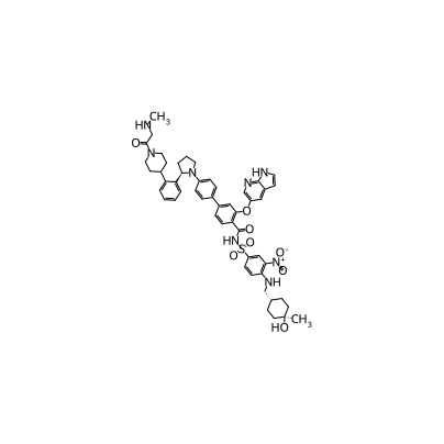 CNCC(=O)N1CCC(c2ccccc2[C@H]2CCCN2c2ccc(-c3ccc(C(=O)NS(=O)(=O)c4ccc(NC[C@H]5CC[C@](C)(O)CC5)c([N+](=O)[O-])c4)c(Oc4cnc5[nH]ccc5c4)c3)cc2)CC1